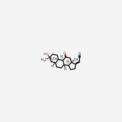 C[C@@]1(O)CC[C@@]2(C)[C@H](CC[C@@H]3[C@@H]2C(=O)C[C@]2(C)/C(=C\C#N)CC[C@@H]32)C1